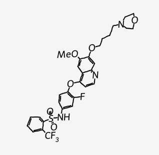 COc1cc2c(Oc3ccc(NS(=O)(=O)c4ccccc4C(F)(F)F)cc3F)ccnc2cc1OCCCCN1CCOCC1